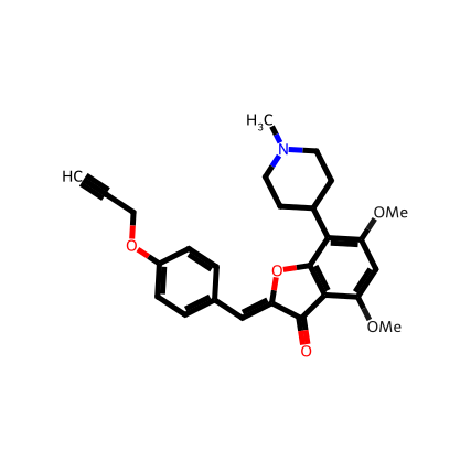 C#CCOc1ccc(/C=C2\Oc3c(c(OC)cc(OC)c3C3CCN(C)CC3)C2=O)cc1